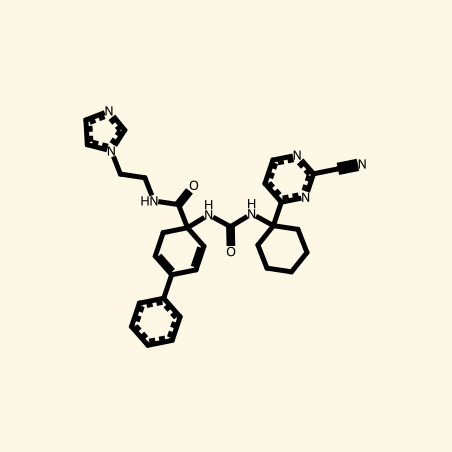 N#Cc1nccc(C2(NC(=O)NC3(C(=O)NCCn4ccnc4)C=CC(c4ccccc4)=CC3)CCCCC2)n1